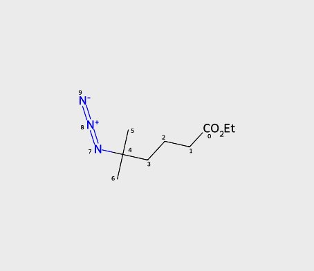 CCOC(=O)CCCC(C)(C)N=[N+]=[N-]